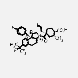 C[C@@H]1C[C@@](CCI)(C(=O)N2CC[C@]3(S(=O)(=O)c4ccc(F)cc4)c4ccc(C(F)(C(F)(F)F)C(F)(F)F)cc4CC[C@H]23)CC[C@H]1C(=O)O